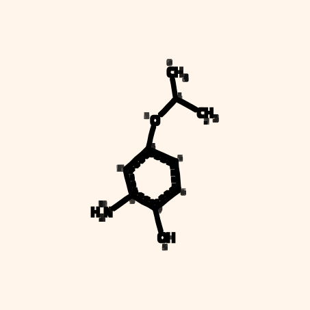 CC(C)Oc1ccc(O)c(N)c1